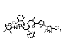 Cc1noc(NS(=O)(=O)c2ccccc2-c2ccc(-c3ncco3)cc2CN(C)C(=O)c2ccc(-c3cc(C(F)(F)F)nn3C)s2)c1C